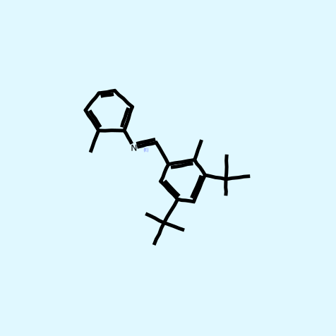 Cc1ccccc1/N=C/c1cc(C(C)(C)C)cc(C(C)(C)C)c1C